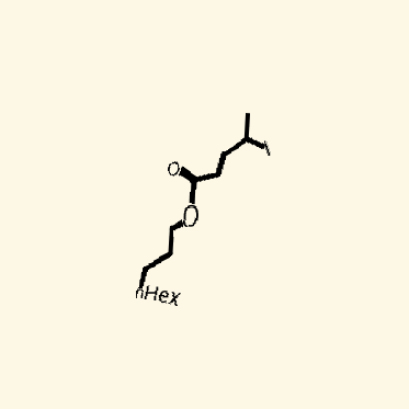 CCCCCCCCCOC(=O)CCC(C)I